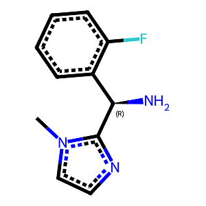 Cn1ccnc1[C@H](N)c1ccccc1F